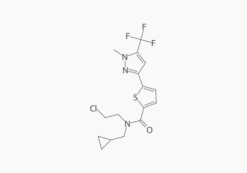 Cn1nc(-c2ccc(C(=O)N(CCCl)CC3CC3)s2)cc1C(F)(F)F